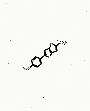 COc1ccc(-c2cc3[nH]c(C(=O)O)cc3o2)cc1